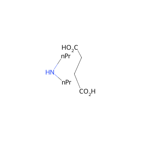 CCCNCCC.O=C(O)CCC(=O)O